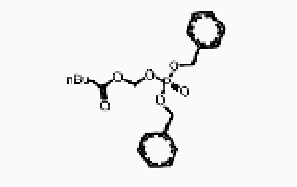 CCCCC(=O)OCOP(=O)(OCc1ccccc1)OCc1ccccc1